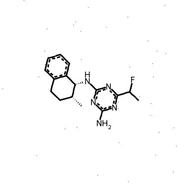 CC(F)c1nc(N)nc(N[C@H]2c3ccccc3CC[C@H]2C)n1